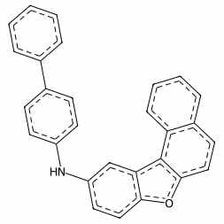 c1ccc(-c2ccc(Nc3ccc4oc5ccc6ccccc6c5c4c3)cc2)cc1